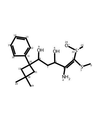 CSC(=C(N)C(O)CC(O)C1(c2ccccc2)CC(C)(C)C1)[S+](C)[O-]